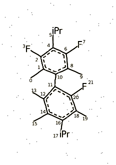 Cc1c(F)c(C(C)C)c(F)c(C)c1-c1c(C)c(C)c(C(C)C)c(C)c1F